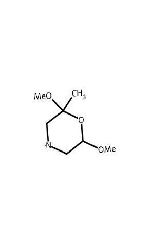 COC1C[N]CC(C)(OC)O1